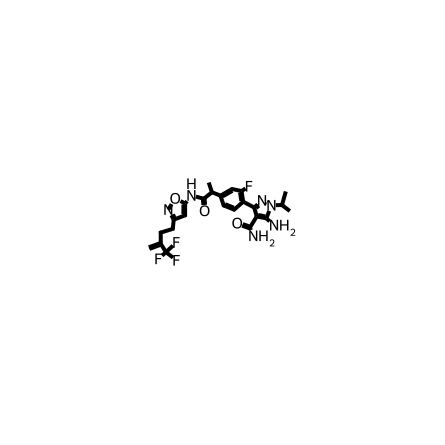 C=C(CCc1cc(NC(=O)C(C)c2ccc(-c3nn(C(C)C)c(N)c3C(N)=O)c(F)c2)on1)C(F)(F)F